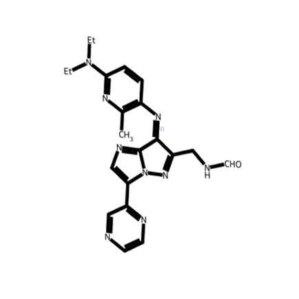 CCN(CC)c1ccc(/N=C2/C(CNC=O)=Nn3c(-c4cnccn4)cnc32)c(C)n1